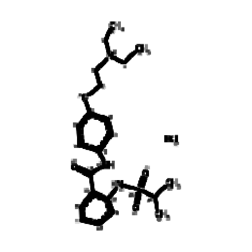 CCN(CC)CCOc1ccc(NC(=O)c2ccccc2NS(=O)(=O)C(C)C)cc1.Cl